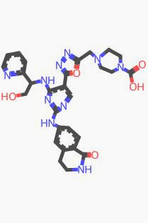 O=C1NCCc2cc(Nc3ncc(-c4nnc(CN5CCN(C(=O)O)CC5)o4)c(NC(CO)c4ccccn4)n3)ccc21